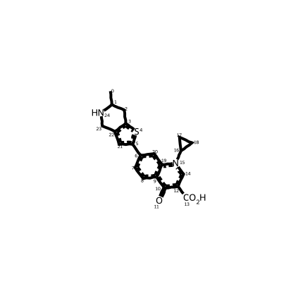 CC1Cc2sc(-c3ccc4c(=O)c(C(=O)O)cn(C5CC5)c4c3)cc2CN1